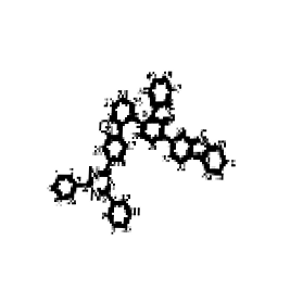 c1ccc(-c2nc(-c3ccccc3)nc(-c3ccc4c(c3)oc3cccc(-c5ccc(-c6ccc7c(c6)sc6ccccc67)c6sc7ccccc7c56)c34)n2)cc1